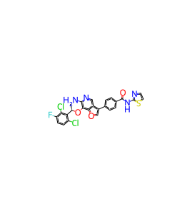 C[C@@H](Oc1c(N)ncc2c(-c3ccc(C(=O)Nc4nccs4)cc3)coc12)c1c(Cl)ccc(F)c1Cl